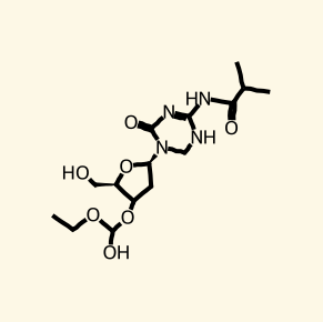 CCOC(O)OC1C[C@H](N2CNC(NC(=O)C(C)C)=NC2=O)O[C@@H]1CO